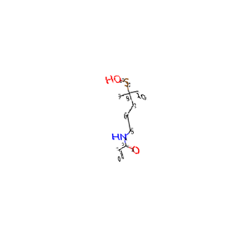 C=CC(=O)NCCCC(C)(C)SO